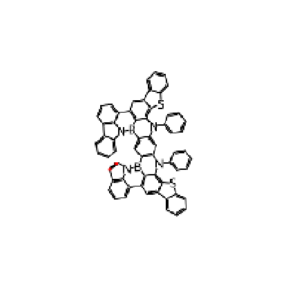 c1ccc(N2c3cc4c(cc3B3c5c(cc6c(sc7ccccc76)c52)-c2cccc5c6ccccc6n3c25)B2c3c(cc5c(sc6ccccc65)c3N4c3ccccc3)-c3cccc4c5ccccc5n2c34)cc1